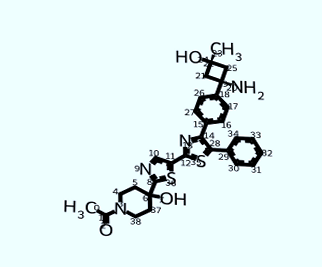 CC(=O)N1CCC(O)(c2ncc(-c3nc(-c4ccc([C@]5(N)C[C@](C)(O)C5)cc4)c(-c4ccccc4)s3)s2)CC1